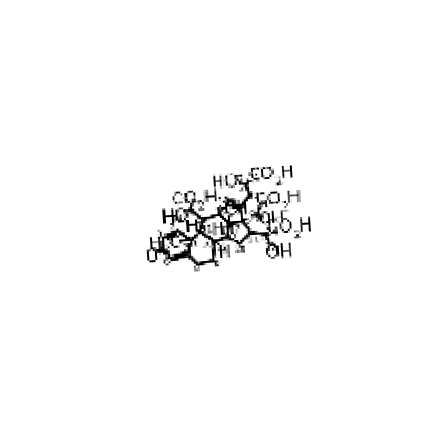 C[C@]12C=CC(=O)C=C1CC[C@@H]1[C@@H]2C(C(O)C(=O)O)C[C@@]2(C)[C@H]1CC(C(O)C(=O)O)[C@@]2(C(=O)CC(O)C(=O)O)C(O)C(=O)O